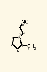 [C-]#[N+]CCN1CCCC1C